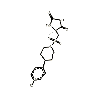 C[C@]1(CS(=O)(=O)N2CCC(c3ccc(Cl)cc3)CC2)NC(=O)NC1=O